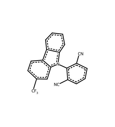 N#Cc1cccc(C#N)c1-n1c2ccccc2c2ccc(C(F)(F)F)cc21